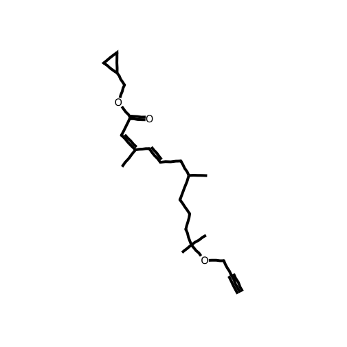 C#CCOC(C)(C)CCCC(C)CC=CC(C)=CC(=O)OCC1CC1